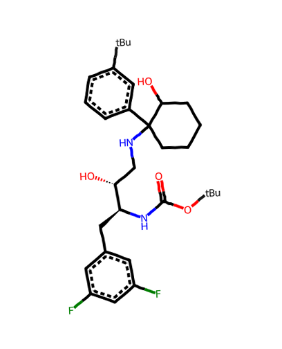 CC(C)(C)OC(=O)N[C@@H](Cc1cc(F)cc(F)c1)[C@H](O)CNC1(c2cccc(C(C)(C)C)c2)CCCCC1O